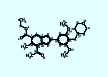 CCOC(=O)c1cc2cc(-c3cc(OC)c(CN4CCOCC4)c(OC)c3)cn2c(C(C)=O)c1C